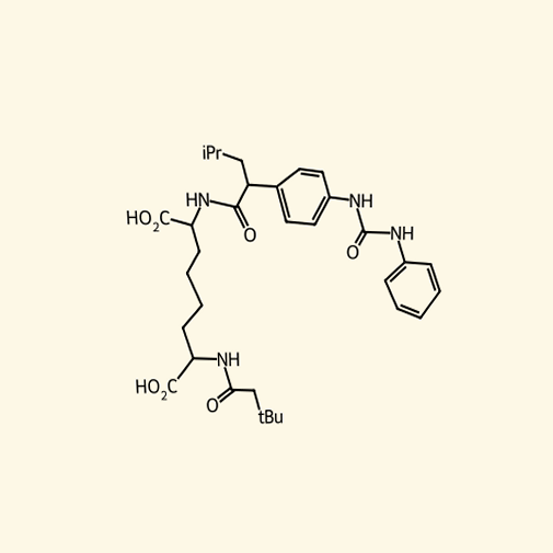 CC(C)CC(C(=O)NC(CCCCC(NC(=O)CC(C)(C)C)C(=O)O)C(=O)O)c1ccc(NC(=O)Nc2ccccc2)cc1